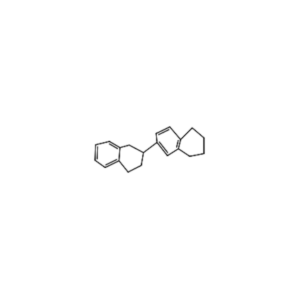 c1ccc2c(c1)CCC(c1ccc3c(c1)CCCC3)C2